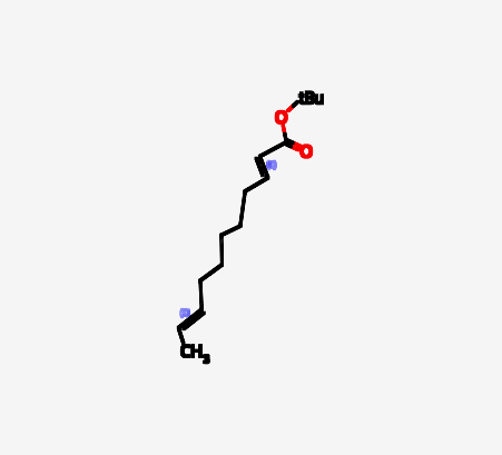 C/C=C/CCCCC/C=C/C(=O)OC(C)(C)C